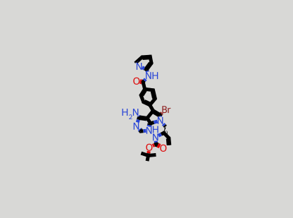 C=C[C@@H](Cn1c(Br)c(-c2ccc(C(=O)Nc3ccccn3)cc2)c2c(N)ncnc21)NC(=O)OC(C)(C)C